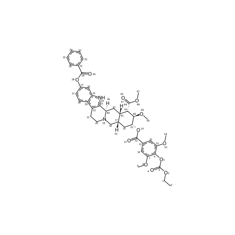 CCOC(=O)Oc1c(OC)cc(C(=O)O[C@@H]2C[C@@H]3CN4CCc5c([nH]c6cc(OC(=O)c7ccccc7)ccc56)[C@H]4C[C@@H]3[C@H](C(=O)OC)[C@H]2OC)cc1OC